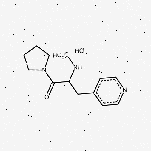 Cl.O=C(O)NC(Cc1ccncc1)C(=O)N1CCCC1